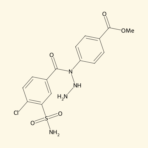 COC(=O)c1ccc(N(NN)C(=O)c2ccc(Cl)c(S(N)(=O)=O)c2)cc1